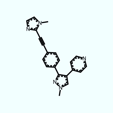 Cn1cc(-c2ccncc2)c(-c2ccc(C#Cc3nccn3C)cc2)n1